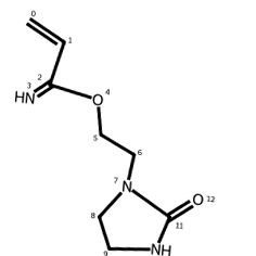 C=CC(=N)OCCN1CCNC1=O